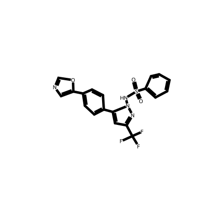 O=S(=O)(Nn1nc(C(F)(F)F)cc1-c1ccc(-c2cnco2)cc1)c1ccccc1